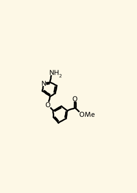 COC(=O)c1cccc(Oc2ccc(N)nc2)c1